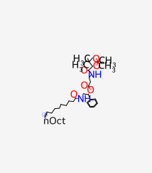 CCCCCCCC/C=C\CCCCCCCC(=O)NCC(OC(=O)CCNC(=O)C1OC(C)(C)OCC1(C)C)c1ccccc1